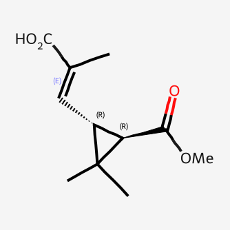 COC(=O)[C@@H]1[C@@H](/C=C(\C)C(=O)O)C1(C)C